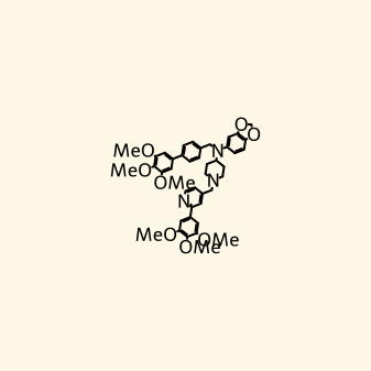 COc1cc(-c2ccc(CN(c3ccc4c(c3)OCO4)C3CCN(Cc4ccnc(-c5cc(OC)c(OC)c(OC)c5)c4)CC3)cc2)cc(OC)c1OC